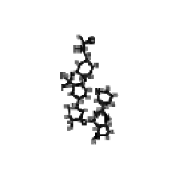 CC(=O)NCC1CCN(c2ccc(-c3ccc(C)c(Oc4nc(-c5cccnc5)nc5ccn(C)c45)c3)cc2C(F)(F)F)CC1